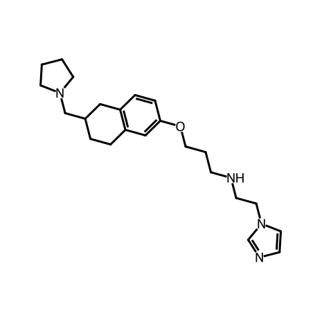 c1cn(CCNCCCOc2ccc3c(c2)CCC(CN2CCCC2)C3)cn1